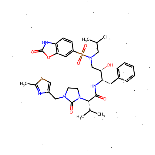 Cc1nc(CN2CCN([C@H](C(=O)N[C@@H](Cc3ccccc3)[C@@H](O)CN(CC(C)C)S(=O)(=O)c3ccc4[nH]c(=O)oc4c3)C(C)C)C2=O)cs1